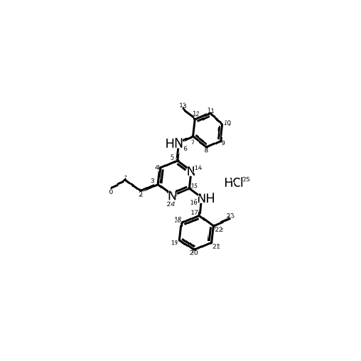 CCCc1cc(Nc2ccccc2C)nc(Nc2ccccc2C)n1.Cl